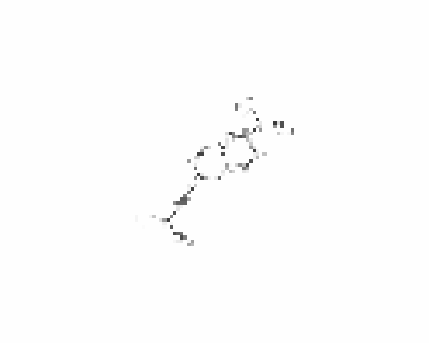 CC(C)C#Cc1ccc2nc(C(C)C)ncc2c1